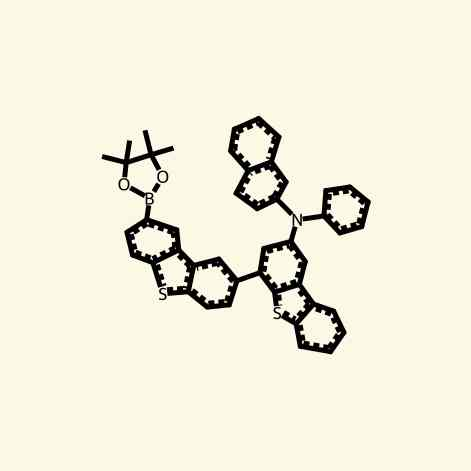 CC1(C)OB(c2ccc3sc4ccc(-c5cc(N(c6ccccc6)c6ccc7ccccc7c6)cc6c5sc5ccccc56)cc4c3c2)OC1(C)C